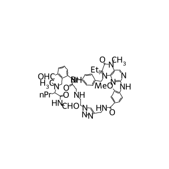 CCCC(C(=O)NC=O)N(C)Cc1c(C=O)cccc1NC(=O)CNCCn1cc(CNC(=O)c2ccc(Nc3ncc4c(n3)N(Cc3ccc(Br)cc3)[C@H](CC)C(=O)N4C)c(OC)c2)nn1